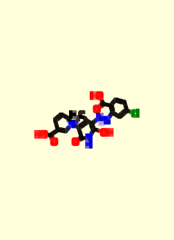 Cc1c(/N=N/c2cc(Cl)ccc2C(=O)O)c(O)[nH]c(=O)c1-[n+]1cccc(C(=O)O)c1